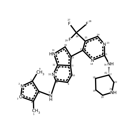 Cc1noc(C)c1Nc1ccc2c(-c3nc(N[C@H]4CCCNC4)ncc3C(F)(F)F)c[nH]c2n1